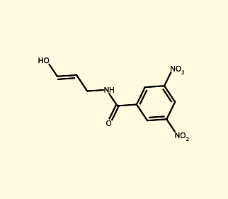 O=C(NCC=CO)c1cc([N+](=O)[O-])cc([N+](=O)[O-])c1